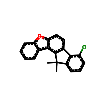 CC1(C)c2cccc(Cl)c2-c2ccc3oc4ccccc4c3c21